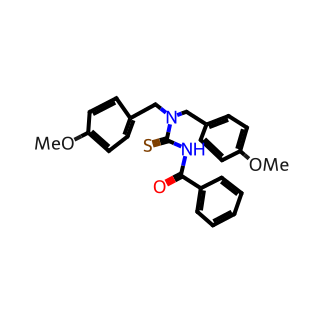 COc1ccc(CN(Cc2ccc(OC)cc2)C(=S)NC(=O)c2ccccc2)cc1